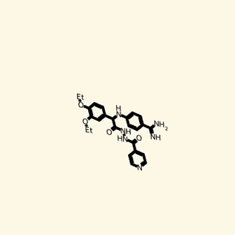 CCOc1ccc(C(Nc2ccc(C(=N)N)cc2)C(=O)NNC(=O)c2ccncc2)cc1OCC